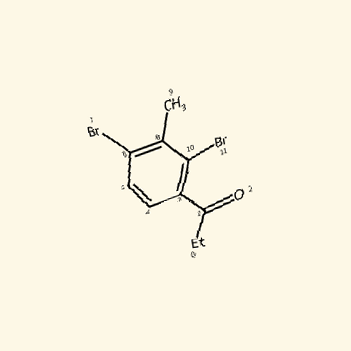 CCC(=O)c1ccc(Br)c(C)c1Br